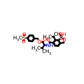 CC(C)c1c(C(=O)NC(C(=O)OCc2ccc(S(C)(=O)=O)cc2)C(C)C)ccc2c1B(O)OC2